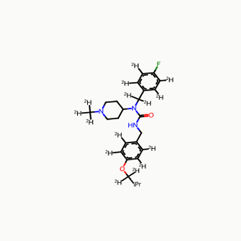 [2H]c1c([2H])c(C([2H])([2H])N(C(=O)NCc2c([2H])c([2H])c(OC([2H])([2H])C(C)C)c([2H])c2[2H])C2CCN(C([2H])([2H])[2H])CC2)c([2H])c([2H])c1F